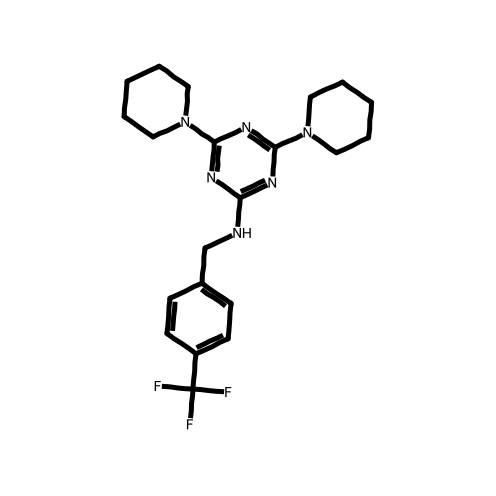 FC(F)(F)c1ccc(CNc2nc(N3CCCCC3)nc(N3CCCCC3)n2)cc1